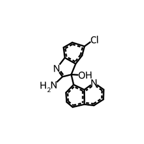 NC1=Nc2ccc(Cl)cc2C1(O)c1cccc2cccnc12